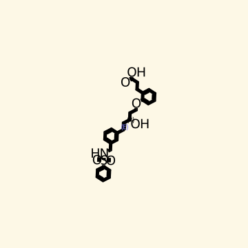 O=C(O)CCc1ccccc1OCC[C@@H](O)/C=C/c1cccc(CNS(=O)(=O)c2ccccc2)c1